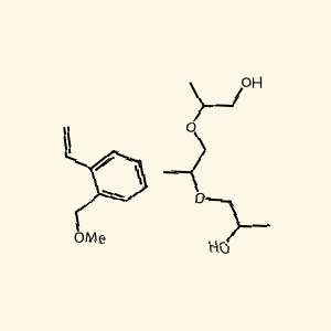 C=Cc1ccccc1COC.CC(O)COC(C)COC(C)CO